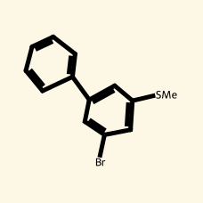 CSc1cc(Br)cc(-c2ccccc2)c1